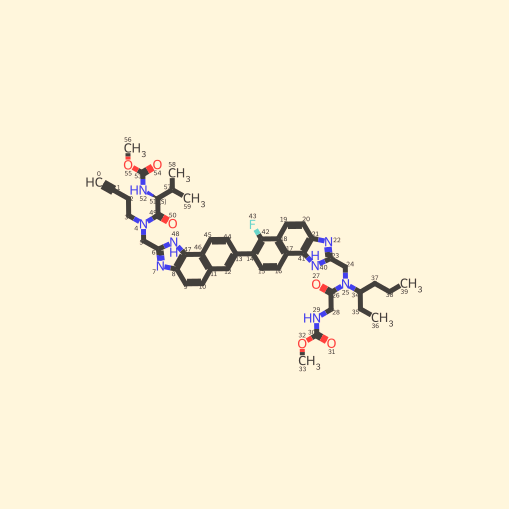 C#CCCN(Cc1nc2ccc3cc(-c4ccc5c(ccc6nc(CN(C(=O)CNC(=O)OC)C(CC)CCC)[nH]c65)c4F)ccc3c2[nH]1)C(=O)[C@@H](NC(=O)OC)C(C)C